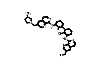 O=Cc1cnc2c(Nc3cccc(-c4cccc(Nc5nccc6cc(CN7CCC(O)C7)cnc56)c4Cl)c3Cl)nccc2c1